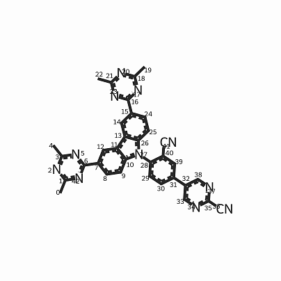 Cc1nc(C)nc(-c2ccc3c(c2)c2cc(-c4nc(C)nc(C)n4)ccc2n3-c2ccc(-c3cnc(C#N)nc3)cc2C#N)n1